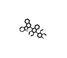 C=Cc1c(C)ccc(-c2c(C=C)c(C=C)c(-c3cc4ccccc4c4c5c(oc34)CCC=C5)c3ccccc23)c1C=C